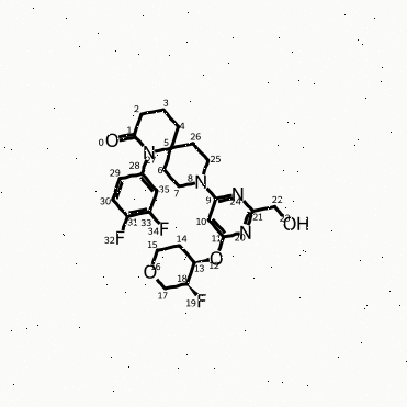 O=C1CCCC2(CCN(c3cc(O[C@@H]4CCOC[C@@H]4F)nc(CO)n3)CC2)N1c1ccc(F)c(F)c1